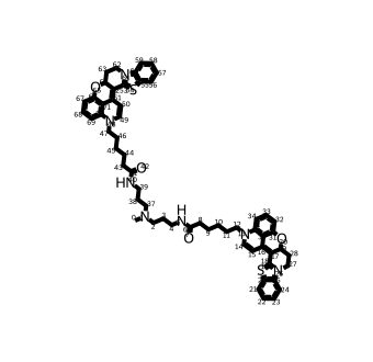 CN(CCCNC(=O)CCCCCN1C=CC2=C3c4sc5ccccc5[n+]4CCC3Oc3cccc1c32)CCCNC(=O)CCCCCN1C=CC2=C3c4sc5ccccc5[n+]4CCC3Oc3cccc1c32